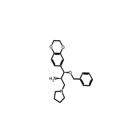 N[C@H](CN1CCCC1)[C@H](OCc1ccccc1)c1ccc2c(c1)OCCO2